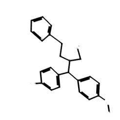 COc1ccc(C([C](CO)CCc2ccccc2)c2ccc(O)cc2)cc1